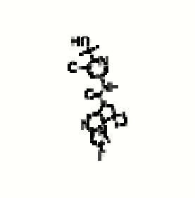 CC(C)(O)c1ncc(NC(=O)[C@@H]2CC3(CCC3)c3c2cnc2cc(F)nn32)cc1Cl